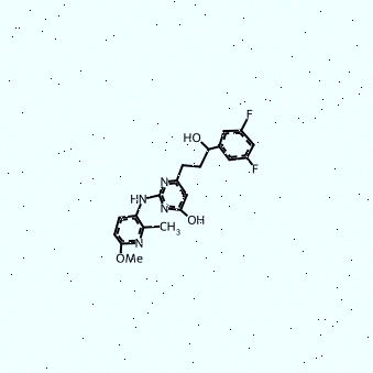 COc1ccc(Nc2nc(O)cc(CCC(O)c3cc(F)cc(F)c3)n2)c(C)n1